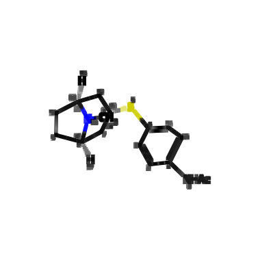 CC(=O)Nc1ccc(S[C@@H]2C[C@H]3CC[C@@H](C2)N3C)cc1